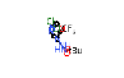 CC(C)(C)OC(=O)NCCNCCCn1cc(-c2ccc(OC(F)(F)F)cc2)c2cc(CN3CCN(Cc4c(Cl)cccc4Cl)CC3)ccc21